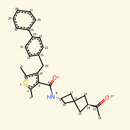 Cc1sc(C)c(C(=O)N[C@H]2CC3(C2)C[C@H](C(C)=O)C3)c1Cc1ccc(-c2ccccc2)cc1